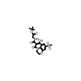 CC(C)(C)OC(=O)CNC(=O)c1c(O)c2cc(S(C)(=O)=O)cc3c2n(c1=O)CCO3